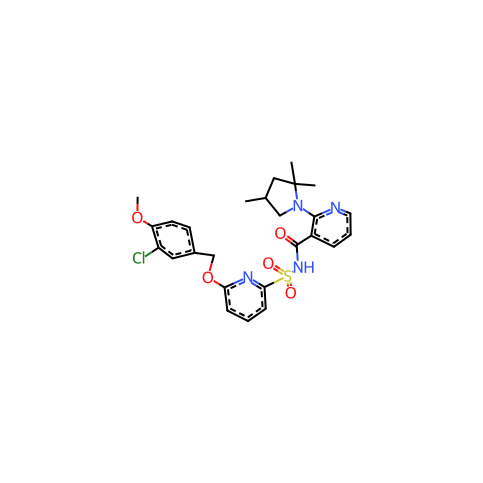 COc1ccc(COc2cccc(S(=O)(=O)NC(=O)c3cccnc3N3CC(C)CC3(C)C)n2)cc1Cl